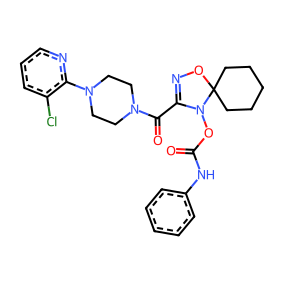 O=C(Nc1ccccc1)ON1C(C(=O)N2CCN(c3ncccc3Cl)CC2)=NOC12CCCCC2